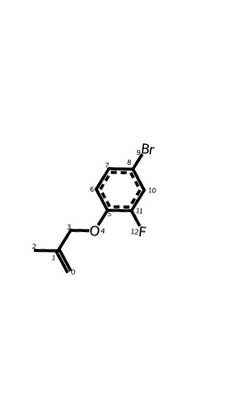 C=C(C)COc1ccc(Br)cc1F